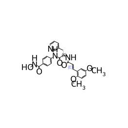 COc1ccc(OC)c(/C=C/C(=O)N[C@@H](Cc2cccnc2)C(=O)Nc2ccc(C(=O)NO)cc2)c1